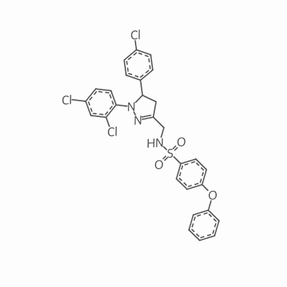 O=S(=O)(NCC1=NN(c2ccc(Cl)cc2Cl)C(c2ccc(Cl)cc2)C1)c1ccc(Oc2ccccc2)cc1